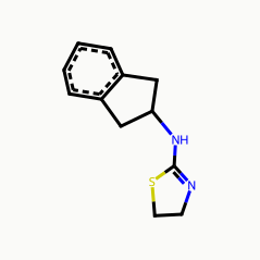 c1ccc2c(c1)CC(NC1=NCCS1)C2